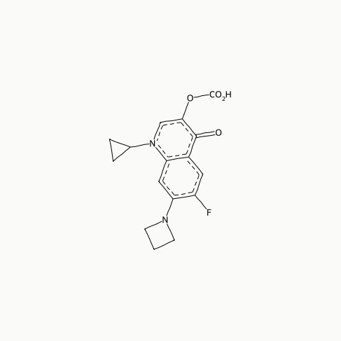 O=C(O)Oc1cn(C2CC2)c2cc(N3CCC3)c(F)cc2c1=O